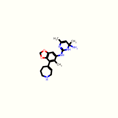 CC1=CC(C)(N)NC(Nc2cc3c(c(C4=CCNCCC4)c2C)OCO3)=N1